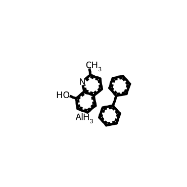 Cc1ccc2cccc(O)c2n1.[AlH3].c1ccc(-c2ccccc2)cc1